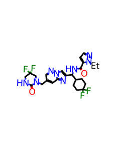 CCn1nccc1C(=O)NC(c1cn2ncc(CN3CC(F)(F)CNC3=O)cc2n1)C1CCC(F)(F)CC1